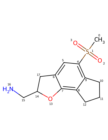 CS(=O)(=O)c1cc2c(c3c1CCC3)OC(CN)C2